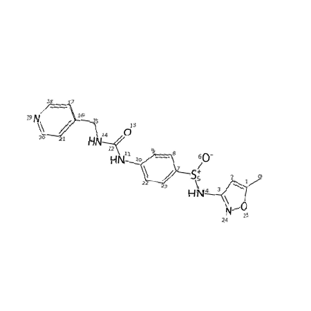 Cc1cc(N[S+]([O-])c2ccc(NC(=O)NCc3ccncc3)cc2)no1